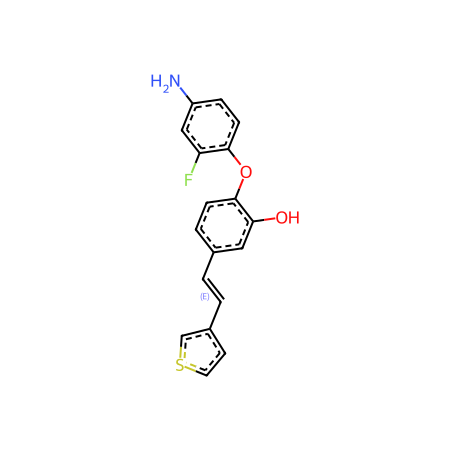 Nc1ccc(Oc2ccc(/C=C/c3ccsc3)cc2O)c(F)c1